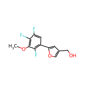 COc1c(F)c(F)cc(-c2cc(CO)co2)c1F